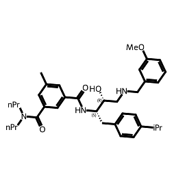 CCCN(CCC)C(=O)c1cc(C)cc(C(=O)N[C@@H](Cc2ccc(C(C)C)cc2)[C@H](O)CNCc2cccc(OC)c2)c1